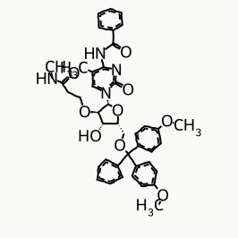 CNC(=O)CCO[C@@H]1[C@@H](O)[C@@H](COC(c2ccccc2)(c2ccc(OC)cc2)c2ccc(OC)cc2)O[C@H]1n1cc(C)c(NC(=O)c2ccccc2)nc1=O